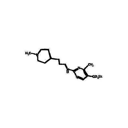 CCOC(=O)c1cnc(NCCCC2CCN(C)CC2)nc1C